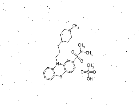 CN1CCN(CCCN2c3ccccc3Sc3ccc(S(=O)(=O)N(C)C)cc32)CC1.CS(=O)(=O)O